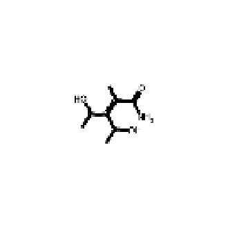 CC(C(N)=O)=C(C(C)O)C(C)O